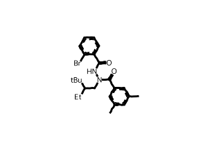 CCC(CN(NC(=O)c1ccccc1Br)C(=O)c1cc(C)cc(C)c1)C(C)(C)C